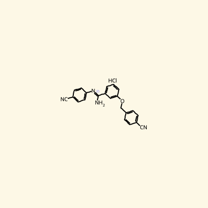 Cl.N#Cc1ccc(COc2cccc(/C(N)=N/c3ccc(C#N)cc3)c2)cc1